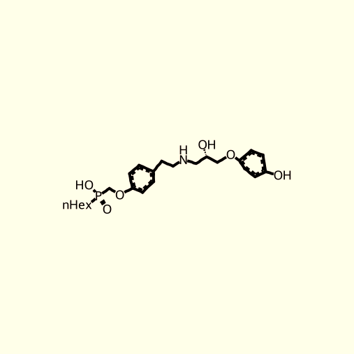 CCCCCCP(=O)(O)COc1ccc(CCNC[C@H](O)COc2ccc(O)cc2)cc1